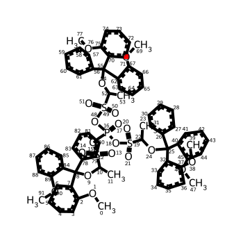 COc1ccccc1C(OC(C)S(=O)(=O)OP(=O)(OS(=O)(=O)C(C)OC(c1ccccc1)(c1ccccc1OC)c1ccccc1OC)OS(=O)(=O)C(C)OC(c1ccccc1)(c1ccccc1OC)c1ccccc1OC)(c1ccccc1)c1ccccc1OC